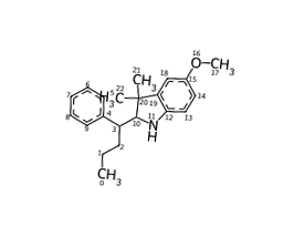 CCCC(c1ccccc1)C1Nc2ccc(OC)cc2C1(C)C